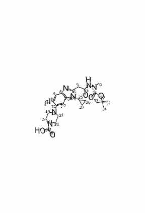 CN(NC(=O)Cc1nc2cc(F)c(N3CCN(C(=O)O)CC3)cc2n1C1CC1)C(=O)OC(C)(C)C